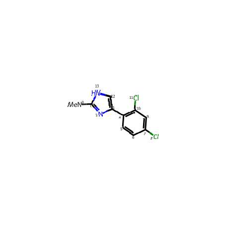 CNc1nc(-c2ccc(Cl)cc2Cl)c[nH]1